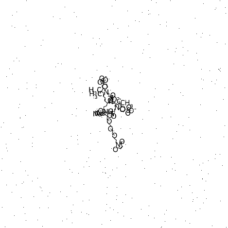 CC1(C)C(=CC=CC(=CC=CC2=[N+](CCS(=O)(=O)[O-])c3ccc(S(=O)(=O)[O-])cc3C2(C)C)CCC(=O)NCCCOCCOCCOCCCN2C(=O)C=CC2=O)N(CCS(=O)(=O)[O-])c2ccc(S(=O)(=O)[O-])cc21.[Na+].[Na+].[Na+]